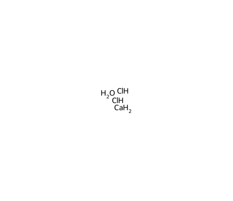 Cl.Cl.O.[CaH2]